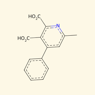 Cc1cc(-c2ccccc2)c(C(=O)O)c(C(=O)O)n1